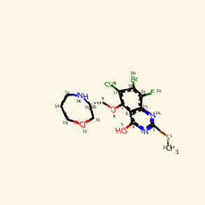 CSc1nc(O)c2c(OC[C@@H]3COCCCN3)c(Cl)c(Br)c(F)c2n1